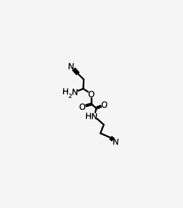 N#CCCNC(=O)C(=O)OC(N)CC#N